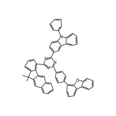 CC1(C)c2cc3ccccc3cc2-c2c(-c3nc(-c4ccc(-c5cccc6c5oc5ccccc56)cc4)nc(-c4ccc5c(c4)c4ccccc4n5-c4ccccc4)n3)cccc21